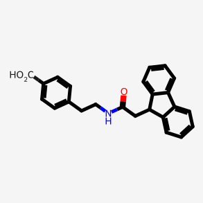 O=C(CC1c2ccccc2-c2ccccc21)NCCc1ccc(C(=O)O)cc1